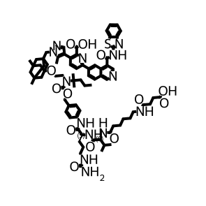 CCCC(C)(C)N(CCOC12CC3(C)CC(C)(CC(Cn4ncc(-c5ccc(-c6ccc7cncc(C(=O)Nc8nc9ccccc9s8)c7c6)nc5C(=O)O)c4C)(C3)C1)C2)C(=O)OCc1ccc(NC(=O)[C@H](CCCNC(N)=O)NC(=O)[C@@H](NC(=O)CCCCCNC(=O)CCC(=O)O)C(C)C)cc1